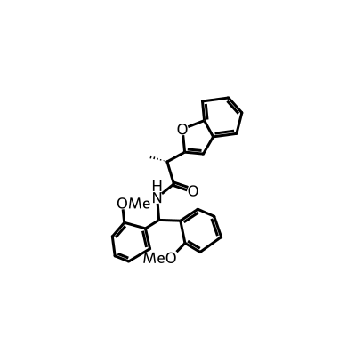 COc1ccccc1C(NC(=O)[C@H](C)c1cc2ccccc2o1)c1ccccc1OC